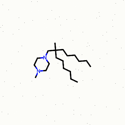 CCCCCCC(C)(CCCCCC)CN1CCN(C)CC1